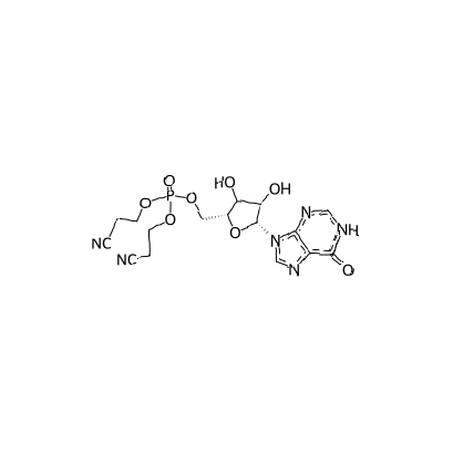 N#CCCOP(=O)(OCCC#N)OC[C@H]1O[C@@H](n2cnc3c(=O)[nH]cnc32)C(O)C1O